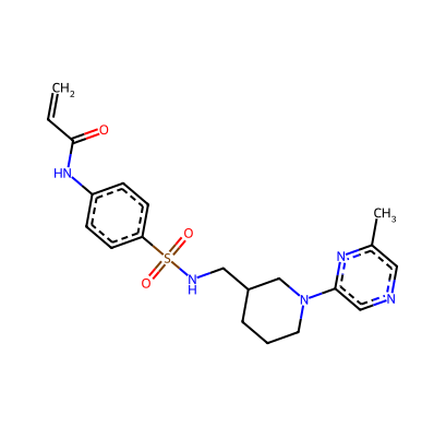 C=CC(=O)Nc1ccc(S(=O)(=O)NCC2CCCN(c3cncc(C)n3)C2)cc1